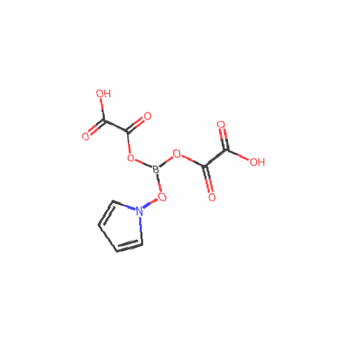 O=C(O)C(=O)OB(OC(=O)C(=O)O)On1cccc1